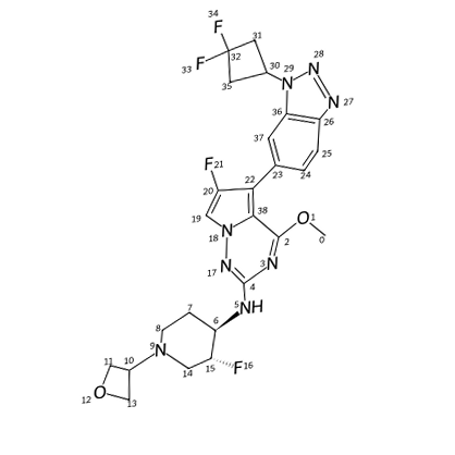 COc1nc(N[C@@H]2CCN(C3COC3)C[C@H]2F)nn2cc(F)c(-c3ccc4nnn(C5CC(F)(F)C5)c4c3)c12